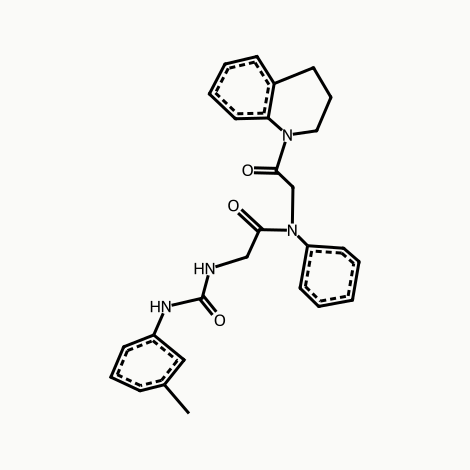 Cc1cccc(NC(=O)NCC(=O)N(CC(=O)N2CCCc3ccccc32)c2ccccc2)c1